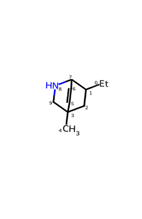 CCC1CC2(C)C=CC1NC2